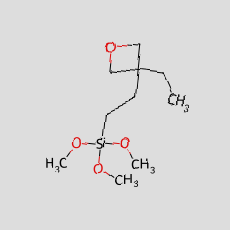 CCC1(CC[Si](OC)(OC)OC)COC1